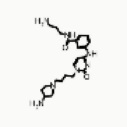 NCCCNC(=O)c1cccc(Nc2ccn(CCCCN3CCC(N)CC3)c(=O)n2)c1